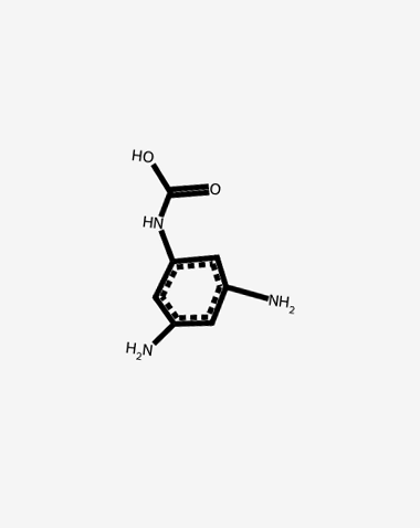 Nc1cc(N)cc(NC(=O)O)c1